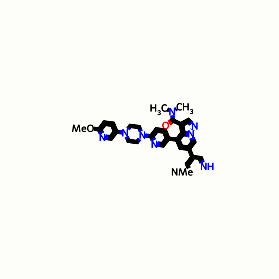 CN/C=C(\C=N)c1cc(-c2ccc(N3CCN(c4ccc(OC)nc4)CC3)nc2)c2c(C(=O)N(C)C)cnn2c1